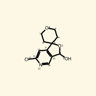 OC1OC2(CCOCC2)c2cc(Cl)ncc21